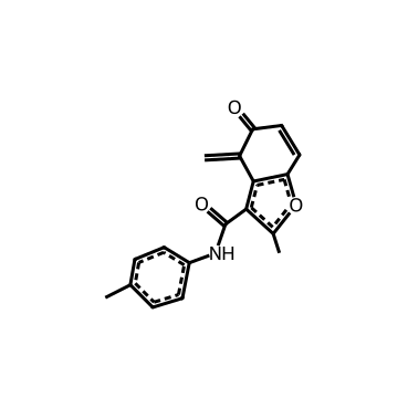 C=C1C(=O)C=Cc2oc(C)c(C(=O)Nc3ccc(C)cc3)c21